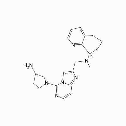 CN(Cc1cn2c(N3CCC(N)C3)nccc2n1)[C@H]1CCCc2cccnc21